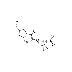 O=CC1Cc2ccc(OCC3(NC(=O)O)CC3)c(Cl)c2C1